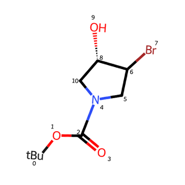 CC(C)(C)OC(=O)N1CC(Br)[C@@H](O)C1